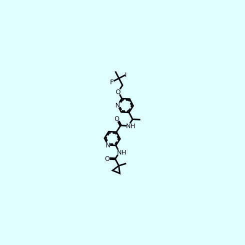 CC(NC(=O)c1ccnc(NC(=O)C2(C)CC2)c1)c1ccc(OCC(C)(F)I)nc1